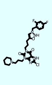 O=c1c2[nH]c(Cl)nc2n(CCCN2CCCCC2)c(=O)n1CCCC1=CN(Cc2ccc(F)cc2F)NO1